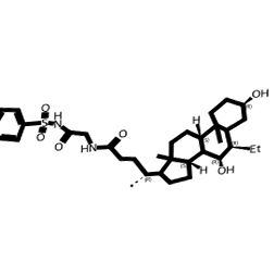 CC[C@@H]1C2C[C@H](O)CCC2(C)[C@H]2CCC3(C)C([C@H](C)CCC(=O)NCC(=O)NS(=O)(=O)c4ccccc4)CC[C@H]3C2[C@@H]1O